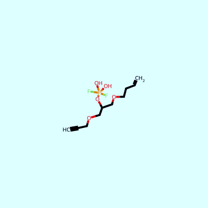 C#CCOCC(COCCC=C)OP(O)(O)(F)F